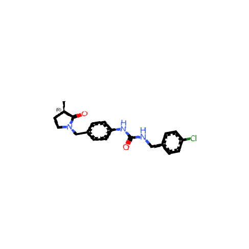 C[C@@H]1CCN(Cc2ccc(NC(=O)NCc3ccc(Cl)cc3)cc2)C1=O